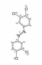 Clc1ccc(/N=N/c2ccc(Cl)c(Cl)c2)cc1Cl